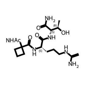 C=C(N)NCCC[C@H](NC(=O)C1(NC(C)=O)CCC1)C(=O)N[C@H](C(N)=O)[C@@H](C)O